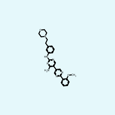 COc1ccccc1-c1ncc(-c2cnc(Nc3cccc(CCN4CCOCC4)c3)nc2N)cn1